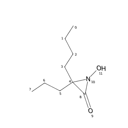 CCCCC1(CCC)C(=O)N1O